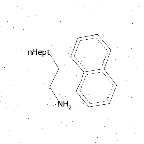 CCCCCCCCCN.c1ccc2ccccc2c1